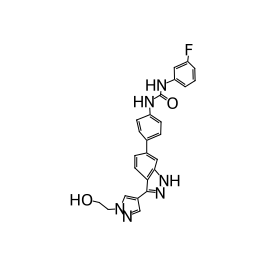 O=C(Nc1ccc(-c2ccc3c(-c4cnn(CCO)c4)n[nH]c3c2)cc1)Nc1cccc(F)c1